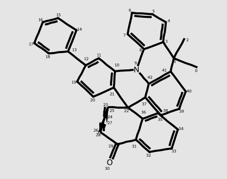 CC1(C)c2ccccc2N2c3cc(-c4ccccc4)ccc3C3(c4ccccc4C(=O)c4ccccc43)c3cccc1c32